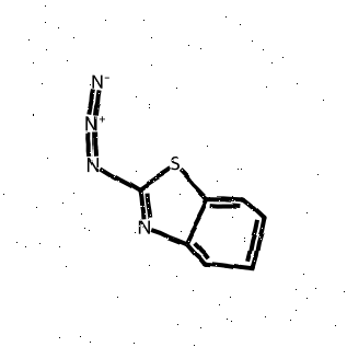 [N-]=[N+]=Nc1nc2ccccc2s1